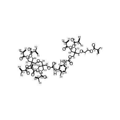 C=C(C)C(=O)OCCOCC(COC(=O)Nc1ccc(C)c(NC(=O)OCC(COCC(COC(=O)C(=C)C)(COC(=O)C(=C)C)COC(=O)C(=C)C)(COC(=O)C(=C)C)COC(=O)C(=C)C)c1)(COC(=O)C(=C)C)COC(=O)C(=C)C